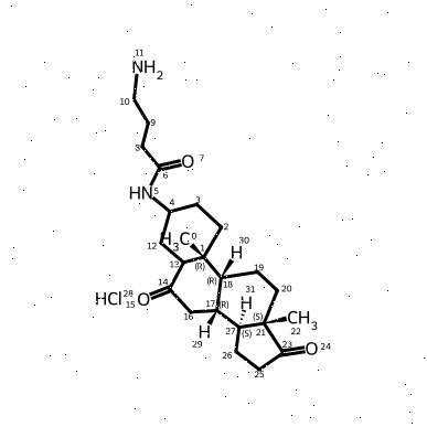 C[C@]12CCC(NC(=O)CCCN)CC1C(=O)C[C@@H]1[C@H]2CC[C@]2(C)C(=O)CC[C@@H]12.Cl